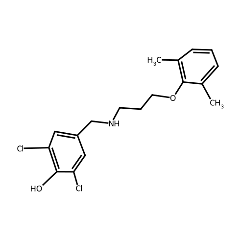 Cc1cccc(C)c1OCCCNCc1cc(Cl)c(O)c(Cl)c1